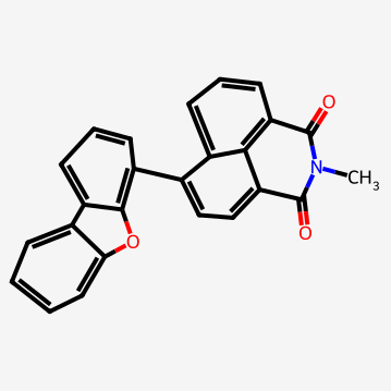 CN1C(=O)c2cccc3c(-c4cccc5c4oc4ccccc45)ccc(c23)C1=O